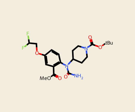 COC(=O)c1cc(OCC(F)F)ccc1N(C(N)=O)C1CCN(C(=O)OC(C)(C)C)CC1